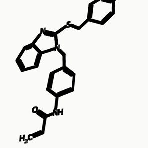 C=CC(=O)Nc1ccc(Cn2c(SCc3ccc(F)cc3)nc3ccccc32)cc1